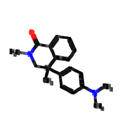 CN1C[Si](C)(c2ccc(N(C)C)cc2)c2ccccc2C1=O